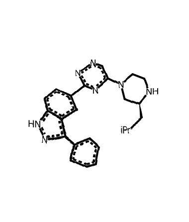 CC(C)C[C@H]1CN(c2cnnc(-c3ccc4[nH]nc(-c5ccccc5)c4c3)n2)CCN1